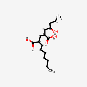 CCCCCCCC(CC(CC(O)CCC)C(=O)O)C(=O)O